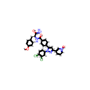 COc1ccc(C[C@H](NC(=O)c2ccc(-c3cc(-c4ccc[n+]([O-])c4)nn3-c3ccc(Cl)c(Cl)c3)cc2)C(N)=O)cc1